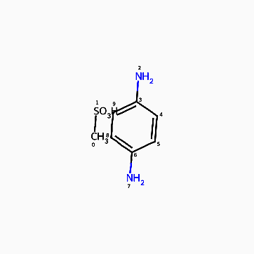 CS(=O)(=O)O.Nc1ccc(N)cc1